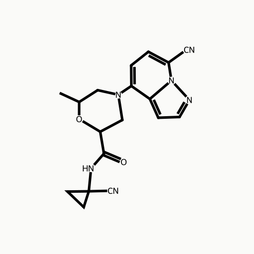 CC1CN(c2ccc(C#N)n3nccc23)CC(C(=O)NC2(C#N)CC2)O1